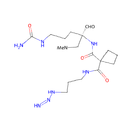 CNC[C@@](C=O)(CCCNC(N)=O)NC(=O)C1(C(=O)NCCCNN=N)CCC1